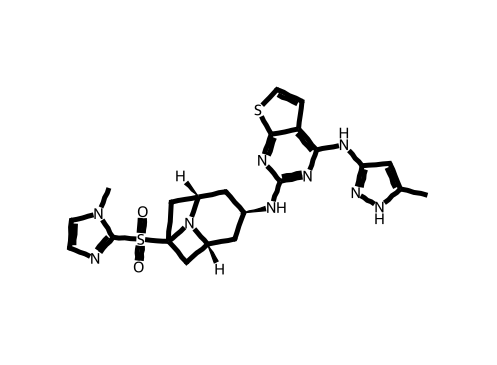 Cc1cc(Nc2nc(N[C@H]3C[C@@H]4CC5(S(=O)(=O)c6nccn6C)C[C@H](C3)N45)nc3sccc23)n[nH]1